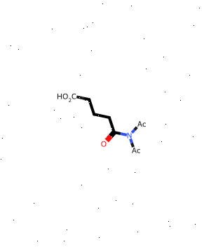 CC(=O)N(C(C)=O)C(=O)CCCC(=O)O